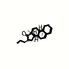 CCC[C@@H]1C[C@H]2[C@@H]3CC=C4C=CCC[C@]4(C)[C@H]3CC[C@]2(C)C1=O